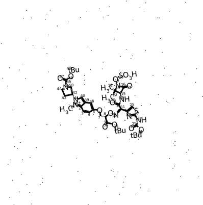 C[n+]1c2ccc(OC[C@H](O/N=C(\C(=O)N[C@@H]3C(=O)N(OS(=O)(=O)O)C3(C)C)c3csc(NC(=O)OC(C)(C)C)n3)C(=O)OC(C)(C)C)cc2cn1[C@@H]1CCN(C(=O)OC(C)(C)C)C1